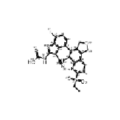 CCS(=O)(=O)c1ncc2c3c(c(-c4ccc(F)c5sc(NC(=O)O)c(C#N)c45)c(Cl)c2n1)COC3